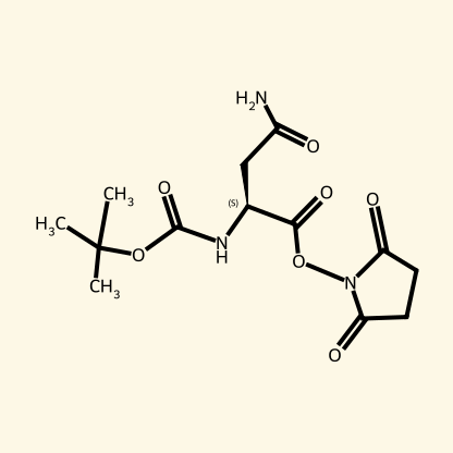 CC(C)(C)OC(=O)N[C@@H](CC(N)=O)C(=O)ON1C(=O)CCC1=O